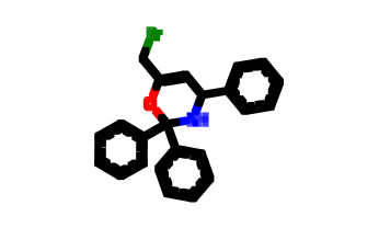 BrCC1=CC(c2ccccc2)NC(c2ccccc2)(c2ccccc2)O1